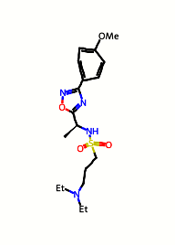 CCN(CC)CCCS(=O)(=O)N[C@@H](C)c1nc(-c2ccc(OC)cc2)no1